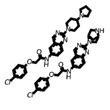 O=C(COc1ccc(Cl)cc1)Nc1ccc2nc(N3CC4CC3CN4)ncc2c1.O=C(COc1ccc(Cl)cc1)Nc1ccc2nc(N3CCC(N4CCCC4)CC3)ncc2c1